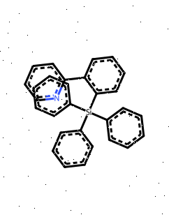 c1ccc([Si](c2ccccc2)(c2ccccc2)c2ccccc2-c2ccccn2)cc1